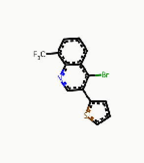 FC(F)(F)c1cccc2c(Br)c(-c3cccs3)cnc12